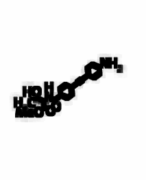 COC(=O)[C@H](NC(=O)c1ccc(C#Cc2ccc(N)cc2)cc1)[C@H](C)O